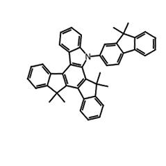 CC1(C)c2ccccc2-c2ccc(-n3c4ccccc4c4c5c(c6c(c43)C(C)(C)c3ccccc3-6)C(C)(C)c3ccccc3-5)cc21